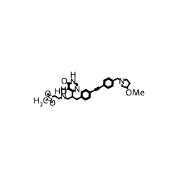 COC1CCN(Cc2ccc(C#Cc3ccc(CC(CNCCS(C)(=O)=O)c4nc[nH]c(=O)c4O)cc3)cc2)C1